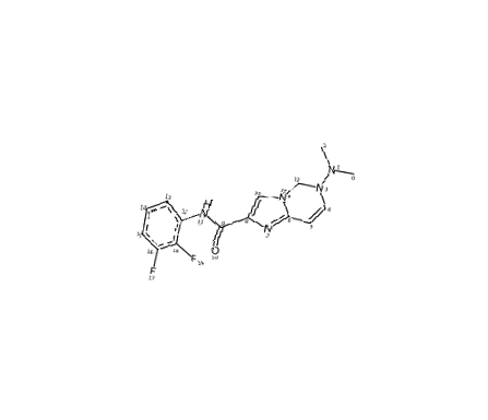 CN(C)N1C=CC2=NC(C(=O)Nc3cccc(F)c3F)=C[N+]2C1